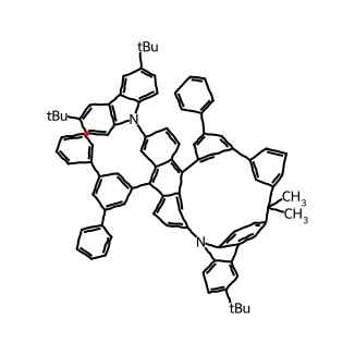 CC(C)(C)c1ccc2c(c1)c1cc(C(C)(C)C)ccc1n2-c1ccc2c3c4cc(ccc4c(-c4cc(-c5ccccc5)cc(-c5ccccc5)c4)c2c1)-n1c2ccc(C(C)(C)C)cc2c2cc(ccc21)C(C)(C)c1cccc(c1)-c1cc(-c2ccccc2)cc-3c1